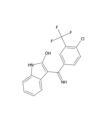 N=C(c1ccc(Cl)c(C(F)(F)F)c1)c1c(O)[nH]c2ccccc12